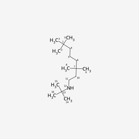 CC(C)(C)CCCC(C)(C)CCNC(C)(C)C